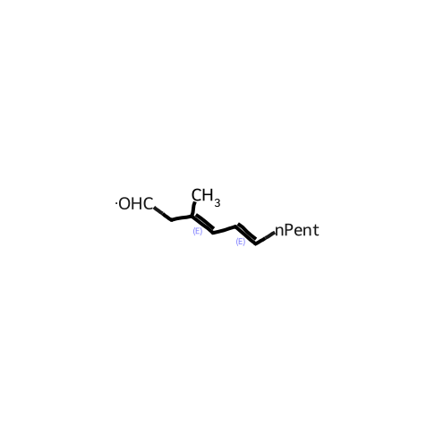 CCCCC/C=C/C=C(\C)C[C]=O